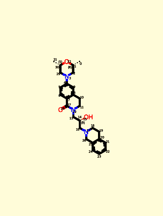 C[C@@H]1CN(c2ccc3c(c2)CCN(C[C@H](O)CN2CCc4ccccc4C2)C3=O)C[C@H](C)O1